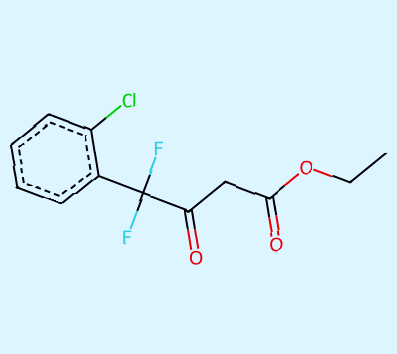 CCOC(=O)CC(=O)C(F)(F)c1ccccc1Cl